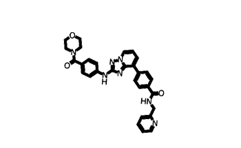 O=C(NCc1ccccn1)c1ccc(-c2cccn3nc(Nc4ccc(C(=O)N5CCOCC5)cc4)nc23)cc1